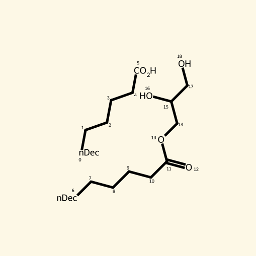 CCCCCCCCCCCCCCC(=O)O.CCCCCCCCCCCCCCC(=O)OCC(O)CO